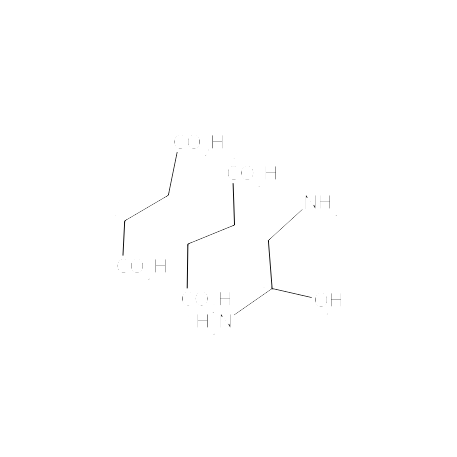 NCC(N)O.O=C(O)CCC(=O)O.O=C(O)CCC(=O)O